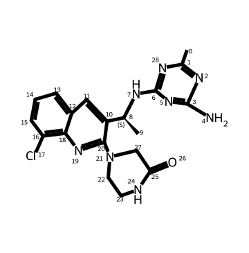 Cc1nc(N)nc(N[C@@H](C)c2cc3cccc(Cl)c3nc2N2CCNC(=O)C2)n1